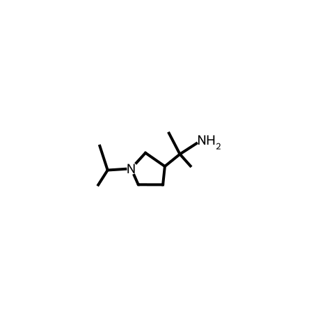 CC(C)N1CCC(C(C)(C)N)C1